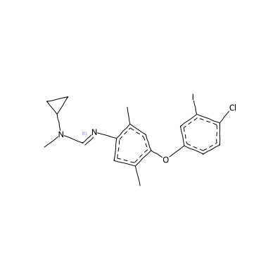 Cc1cc(Oc2ccc(Cl)c(I)c2)c(C)cc1/N=C/N(C)C1CC1